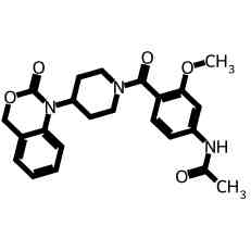 COc1cc(NC(C)=O)ccc1C(=O)N1CCC(N2C(=O)OCc3ccccc32)CC1